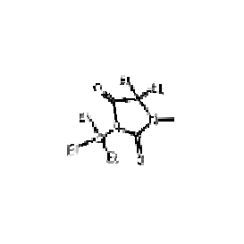 CCC1(CC)C(=O)N([Si](CC)(CC)CC)C(=O)N1C